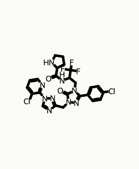 O=C(NC(Cn1c(-c2ccc(Cl)cc2)nn(Cc2ncn(-c3ncccc3Cl)n2)c1=O)C(F)(F)F)C1CCCN1